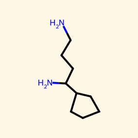 NCCCC(N)C1CCCC1